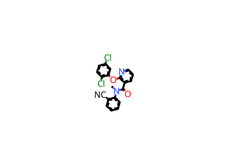 CN(C(=O)c1cccnc1Oc1cc(Cl)ccc1Cl)c1ccccc1C#N